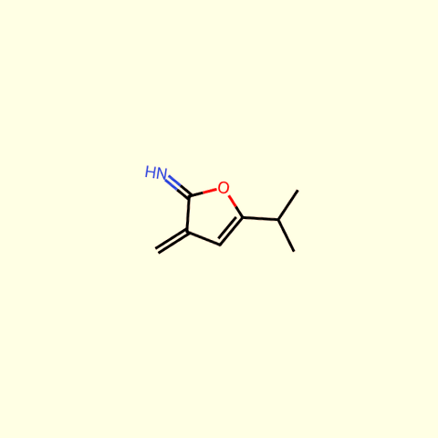 C=C1C=C(C(C)C)OC1=N